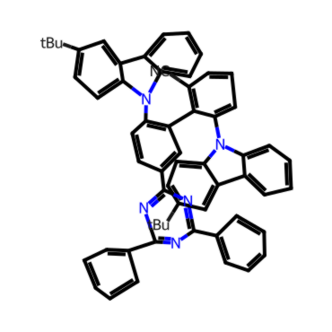 CC(C)(C)c1ccc2c(c1)c1ccccc1n2-c1ccc(-c2nc(-c3ccccc3)nc(-c3ccccc3)n2)cc1-c1c(C#N)cccc1-n1c2ccccc2c2cc(C(C)(C)C)ccc21